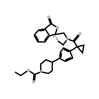 CCOC(=O)N1CCC(c2ccc(C3(C(=O)N4CC[C@@]5(C4)OC(=O)c4ccccc45)CC3)cc2)CC1